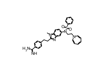 Cn1c(CCc2ccc(C(=N)N)cc2)nc2cc(N(CCN3C=CC=CC=C3)S(=O)(=O)c3ccccc3)ccc21